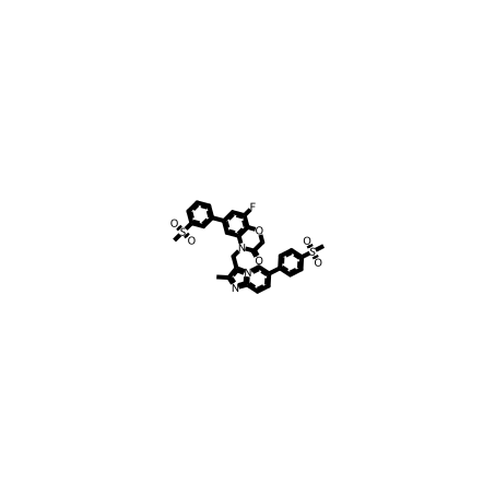 Cc1nc2ccc(-c3ccc(S(C)(=O)=O)cc3)cn2c1CN1C(=O)COc2c(F)cc(-c3cccc(S(C)(=O)=O)c3)cc21